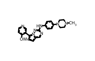 COc1ccncc1-c1ccc2cnc(Nc3ccc(N4CCN(C)CC4)cc3)nn12